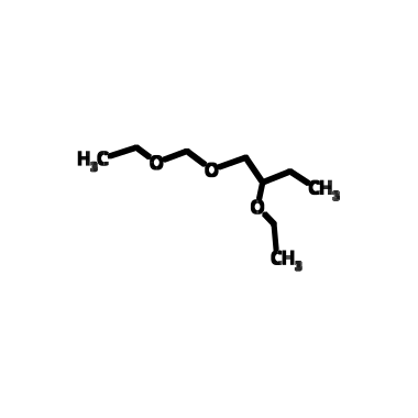 CCOCOCC(CC)OCC